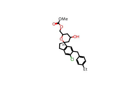 CCc1ccc(Cc2cc3c(cc2Cl)CC[C@@]32CC(O)CC(COC(=O)OC)O2)cc1